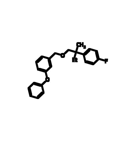 CCC(C)(COCc1cccc(Oc2ccccc2)c1)c1ccc(F)cc1